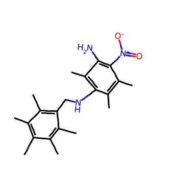 Cc1c(C)c(C)c(CNc2c(C)c(C)c([N+](=O)[O-])c(N)c2C)c(C)c1C